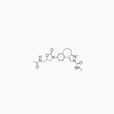 CC(=O)NCC1CN(c2ccc3c(c2)CCCC2=[N+]N(C(N)=O)C=C23)C(=O)O1